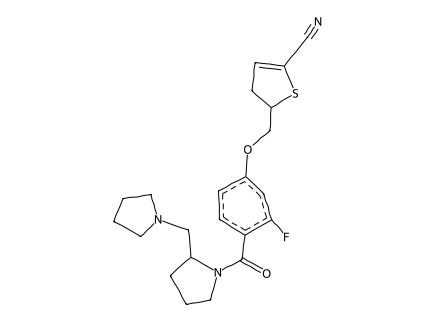 N#CC1=CCC(COc2ccc(C(=O)N3CCCC3CN3CCCC3)c(F)c2)S1